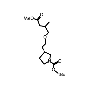 COC(=O)CC(C)COCC[C@@H]1CCN(C(=O)OC(C)(C)C)C1